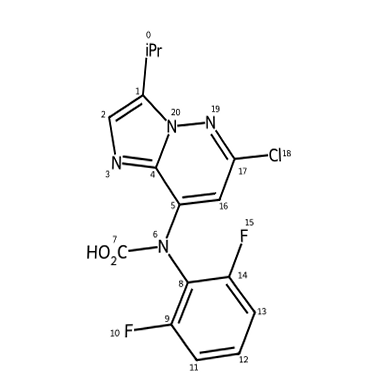 CC(C)c1cnc2c(N(C(=O)O)c3c(F)cccc3F)cc(Cl)nn12